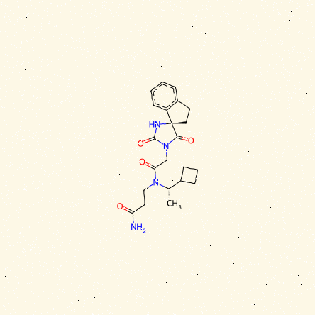 C[C@@H](C1CCC1)N(CCC(N)=O)C(=O)CN1C(=O)N[C@@]2(CCc3ccccc32)C1=O